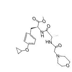 COC(=O)[C@H](Cc1ccc(OC2CC2)cc1)NC(=O)[C@H](C)NC(=O)CN1CCOCC1